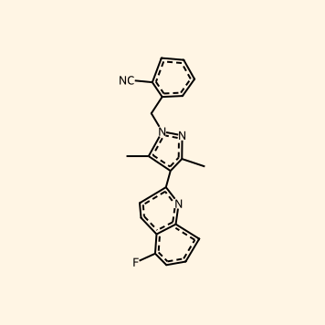 Cc1nn(Cc2ccccc2C#N)c(C)c1-c1ccc2c(F)cccc2n1